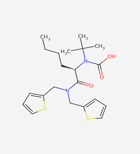 CCCC[C@H](C(=O)N(Cc1cccs1)Cc1cccs1)N(C(=O)O)C(C)(C)C